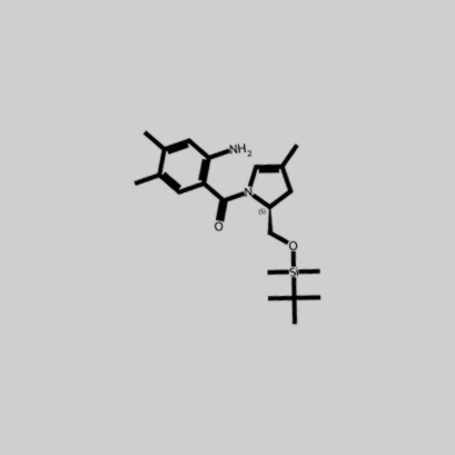 CC1=CN(C(=O)c2cc(C)c(C)cc2N)[C@H](CO[Si](C)(C)C(C)(C)C)C1